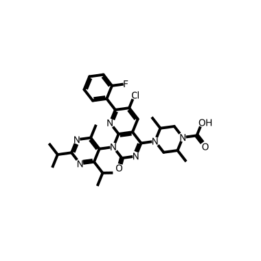 Cc1nc(C(C)C)nc(C(C)C)c1-n1c(=O)nc(N2CC(C)N(C(=O)O)CC2C)c2cc(Cl)c(-c3ccccc3F)nc21